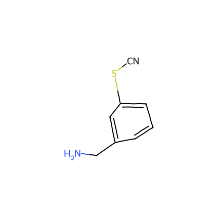 N#CSc1cccc(CN)c1